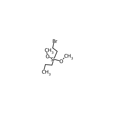 CCC[Si](CCBr)(OC)OC